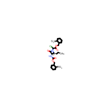 CC(=O)OCC[C@H]1[C@H](NC(=O)OCc2ccccc2[N+](=O)[O-])C(=O)N1C(Cl)C(=O)OCc1ccccc1[N+](=O)[O-]